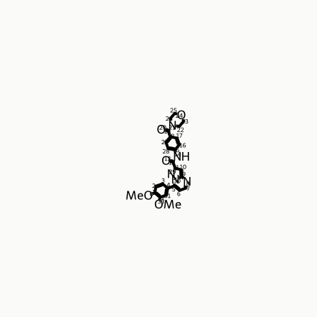 COc1ccc(-c2ccnc3cc(C(=O)Nc4ccc(C(=O)N5CCOCC5)cc4)nn23)cc1OC